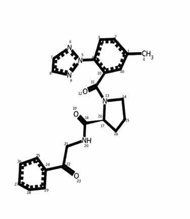 Cc1ccc(-n2nccn2)c(C(=O)N2CCC[C@H]2C(=O)NCC(=O)c2ccccc2)c1